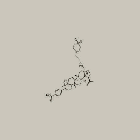 C=C(C)[C@@H]1CC[C@]2(CNCCCCN3CCS(=O)(=O)CC3)CC[C@]3(C)[C@H](CC[C@@H]4[C@@]5(C)CC=C(c6ccc(C(=O)O)cc6)C(C)(C)[C@@H]5CC[C@]43C)[C@@H]12